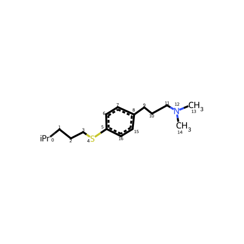 CC(C)CCCSc1ccc(CCCN(C)C)cc1